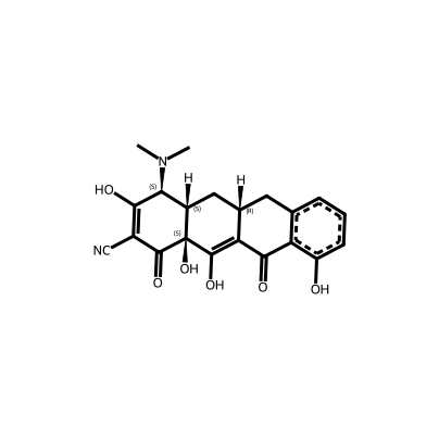 CN(C)[C@@H]1C(O)=C(C#N)C(=O)[C@@]2(O)C(O)=C3C(=O)c4c(O)cccc4C[C@H]3C[C@@H]12